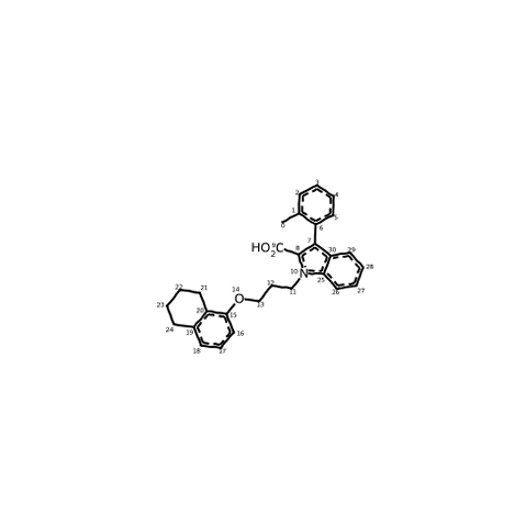 Cc1ccccc1-c1c(C(=O)O)n(CCCOc2cccc3c2CCCC3)c2ccccc12